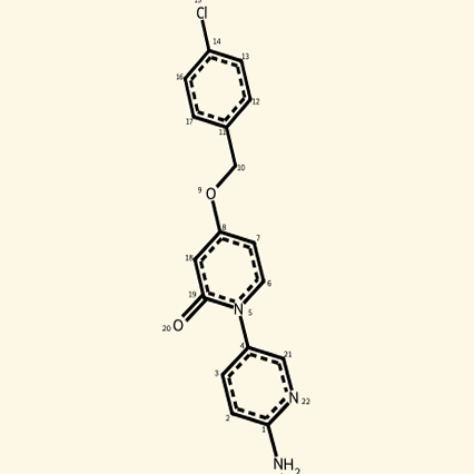 Nc1ccc(-n2ccc(OCc3ccc(Cl)cc3)cc2=O)cn1